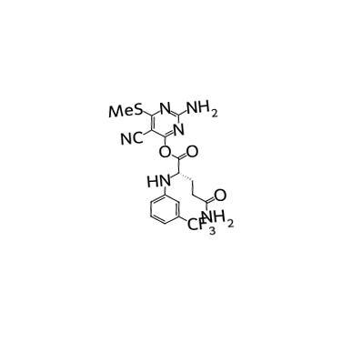 CSc1nc(N)nc(OC(=O)[C@H](CCC(N)=O)Nc2cccc(C(F)(F)F)c2)c1C#N